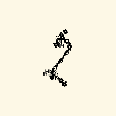 CC1=C(c2ccc(CNC(=O)[C@@H]3CCCN3C(=O)C(NC(=O)COCCCCCOCCCCCOCCN3CCN(Cc4ccc(-c5cc(C(=O)NCc6c(C)cc(C)[nH]c6=O)c6ccn(C7CCCC7)c6c5)cc4)CC3)C(C)(C)C)cc2)CC=C1